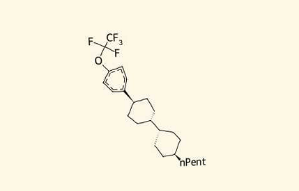 CCCCC[C@H]1CC[C@H]([C@H]2CC[C@H](c3ccc(OC(F)(F)C(F)(F)F)cc3)CC2)CC1